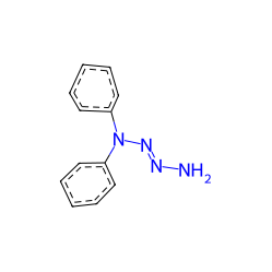 NN=NN(c1ccccc1)c1ccccc1